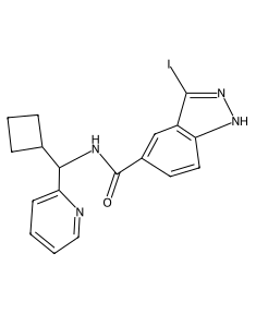 O=C(NC(c1ccccn1)C1CCC1)c1ccc2[nH]nc(I)c2c1